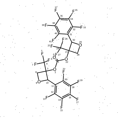 O=C(OC1(C(F)(F)F)COC1c1c(F)c(F)c(F)c(F)c1F)OC1(C(F)(F)F)COC1c1c(F)c(F)c(F)c(F)c1F